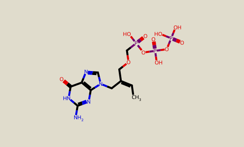 C/C=C(/COCP(=O)(O)OP(=O)(O)OP(=O)(O)O)Cn1cnc2c(=O)[nH]c(N)nc21